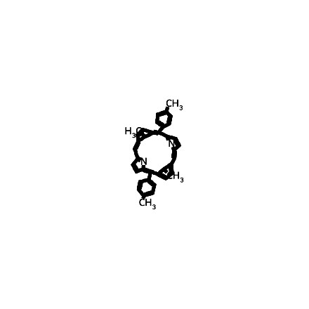 Cc1ccc(/C2=C3\C=CC(=N3)/C=C3C=C/C(=C(\c4ccc(C)cc4)C4=N/C(=C\C5=CC=C2C5C)C=C4)C/3C)cc1